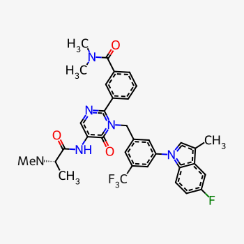 CN[C@@H](C)C(=O)Nc1cnc(-c2cccc(C(=O)N(C)C)c2)n(Cc2cc(-n3cc(C)c4cc(F)ccc43)cc(C(F)(F)F)c2)c1=O